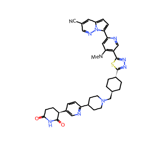 CNc1cc(-c2ccc3cc(C#N)cnn23)ncc1-c1nnc([C@H]2CC[C@H](CN3CCC(c4ccc([C@@H]5CCC(=O)NC5=O)cn4)CC3)CC2)s1